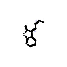 C=c1oc2ccccc2/c1=C/C=C\C